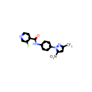 O=C(Nc1ccc(-n2nc(C(F)(F)F)cc2[N+](=O)[O-])cc1)c1ccncc1F